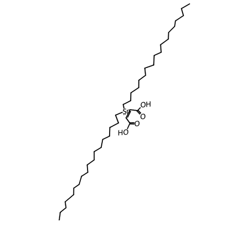 CCCCCCCCCCCCCCCCC[CH2][Sn][CH2]CCCCCCCCCCCCCCCCC.O=C(O)/C=C\C(=O)O